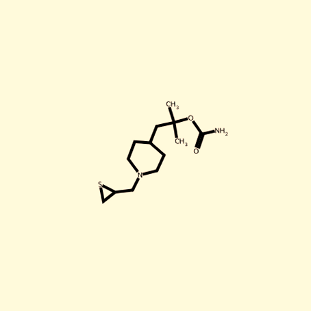 CC(C)(CC1CCN(CC2CS2)CC1)OC(N)=O